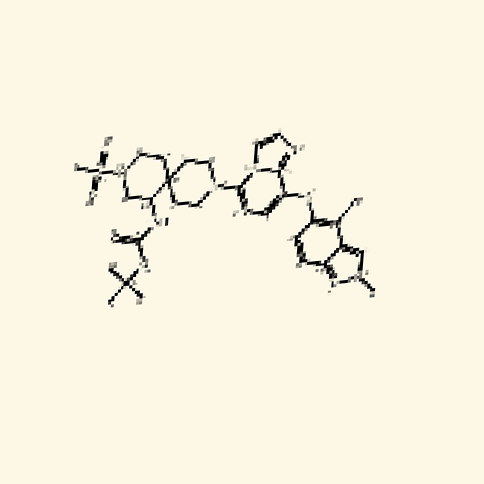 Cn1cc2c(Cl)c(Sc3cnc(N4CCC5(CC4)CCN(S(C)(=O)=O)CC5NC(=O)OC(C)(C)C)n4ccnc34)ccc2n1